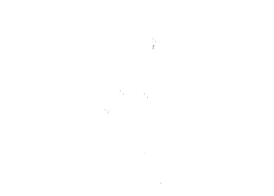 OC/C=C/c1ccc2ncnc(N[C@H]3CC[C@H](N4CCOCC4)CC3)c2c1